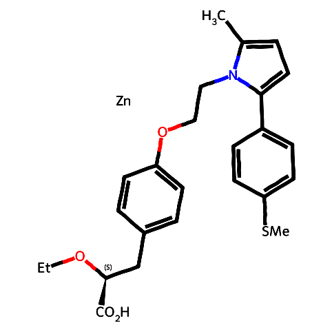 CCO[C@@H](Cc1ccc(OCCn2c(C)ccc2-c2ccc(SC)cc2)cc1)C(=O)O.[Zn]